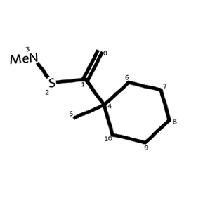 C=C(SNC)C1(C)CCCCC1